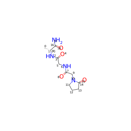 C[C@@H](NC(=O)CNC(=O)CN1CCCC1=O)C(N)=O